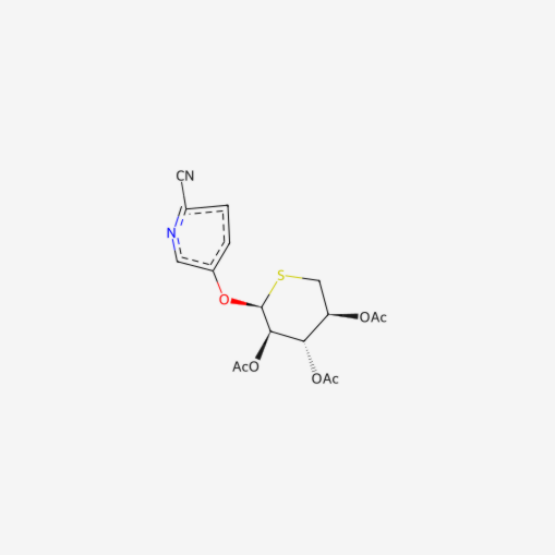 CC(=O)O[C@@H]1[C@@H](OC(C)=O)[C@@H](Oc2ccc(C#N)nc2)SC[C@H]1OC(C)=O